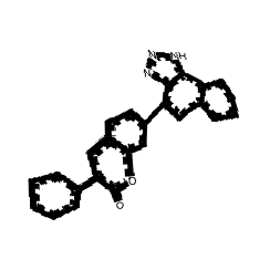 O=c1oc2cc(-c3cc4ccccc4c4[nH]nnc34)ccc2cc1-c1ccccc1